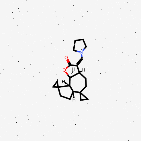 O=C1O[C@@H]2[C@@H]3[C@@H](CCC34CC4)C3(CC[C@H]2/C1=C/N1CCCC1)CC3